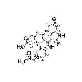 CN(C)Cc1ccc(N/C(=C2\C(=O)Nc3cc(Cl)ccc32)c2cccc(CC(=O)O)c2)cc1